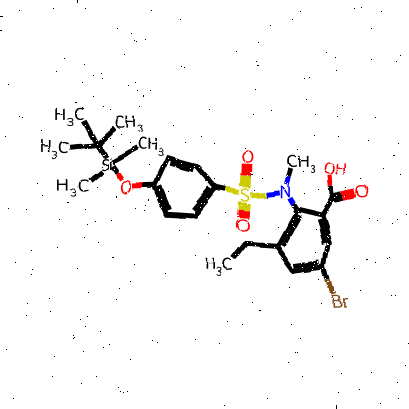 CCc1cc(Br)cc(C(=O)O)c1N(C)S(=O)(=O)c1ccc(O[Si](C)(C)C(C)(C)C)cc1